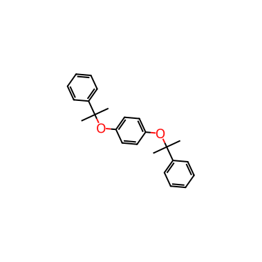 CC(C)(Oc1ccc(OC(C)(C)c2ccccc2)cc1)c1ccccc1